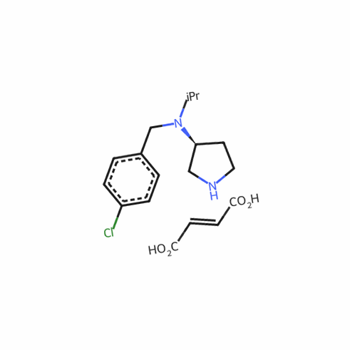 CC(C)N(Cc1ccc(Cl)cc1)[C@H]1CCNC1.O=C(O)/C=C/C(=O)O